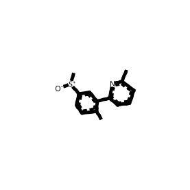 Cc1cccc(-c2cc([S+](C)[O-])ccc2C)n1